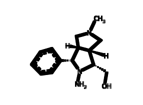 CN1C[C@@H]2[C@H](C1)[C@H](CO)N(N)[C@@H]2c1ccccc1